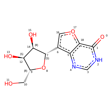 O=c1[nH]cnc2c([C@@H]3O[C@H](CO)[C@@H](O)[C@H]3O)coc12